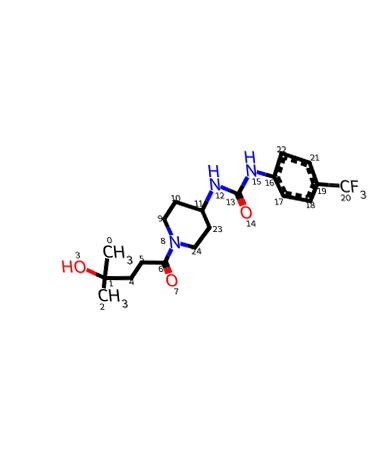 CC(C)(O)CCC(=O)N1CCC(NC(=O)Nc2ccc(C(F)(F)F)cc2)CC1